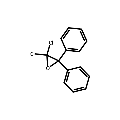 ClC1(Cl)OC1(c1ccccc1)c1ccccc1